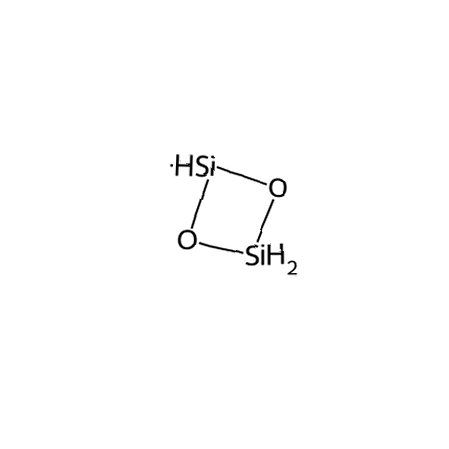 O1[SiH]O[SiH2]1